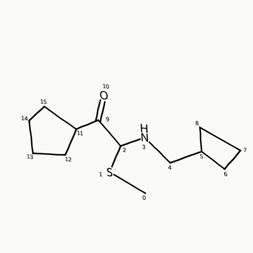 CSC(NCC1CCC1)C(=O)C1CCCC1